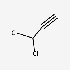 [C]#CC(Cl)Cl